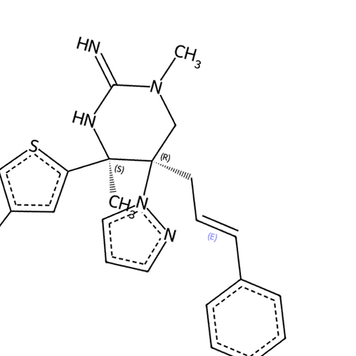 CN1C[C@@](C/C=C/c2ccccc2)(n2cccn2)[C@@](C)(c2cc(Br)cs2)NC1=N